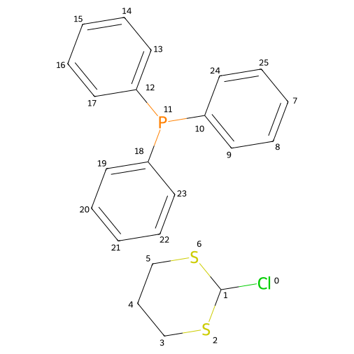 ClC1SCCCS1.c1ccc(P(c2ccccc2)c2ccccc2)cc1